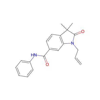 C=CCN1C(=O)C(C)(C)c2ccc(C(=O)Nc3ccccc3)cc21